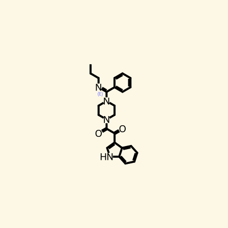 CCC/N=C(\c1ccccc1)N1CCN(C(=O)C(=O)c2c[nH]c3ccccc23)CC1